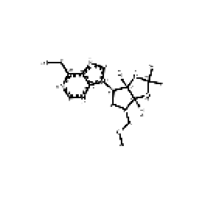 COC[C@H]1C[C@@H](n2cnc3c(CI)ncnc32)[C@@H]2OC(C)(C)O[C@H]12